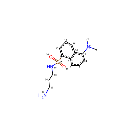 CN(C)c1cccc2c(S(=O)(=O)NCCCN)cccc12